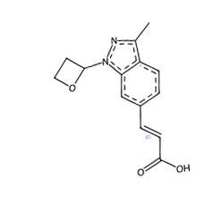 Cc1nn(C2CCO2)c2cc(/C=C/C(=O)O)ccc12